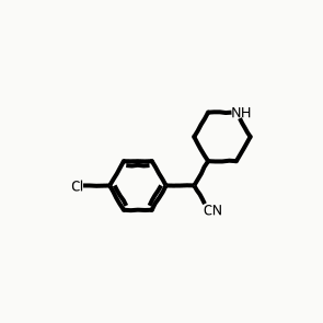 N#CC(c1ccc(Cl)cc1)C1CCNCC1